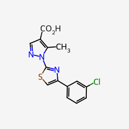 Cc1c(C(=O)O)cnn1-c1nc(-c2cccc(Cl)c2)cs1